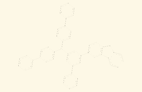 c1ccc(-c2ccc(N(c3ccc(-c4ccccc4)cc3)c3cc(-c4ccccc4)cc(-c4ccc5c(c4)-c4ccccc4C5)c3)cc2)cc1